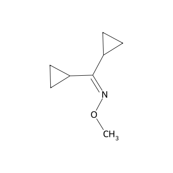 CON=C(C1CC1)C1CC1